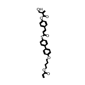 C=CC(=O)OCCCCOc1ccc(-c2ccc(SC(=O)/C=C/c3ccc(OC(=O)C(=C)CO)cc3)cc2)cc1